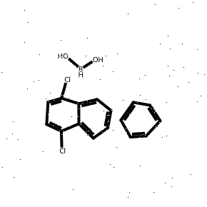 Clc1ccc(Cl)c2ccccc12.OBO.c1ccccc1